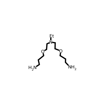 CCN(CCOCCCN)CCOCCCN